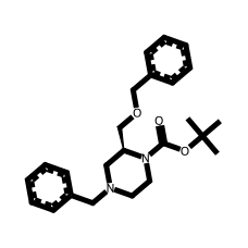 CC(C)(C)OC(=O)N1CCN(Cc2ccccc2)C[C@H]1COCc1ccccc1